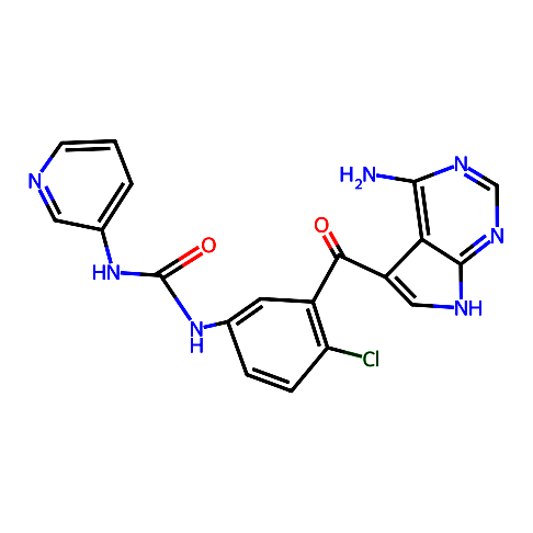 Nc1ncnc2[nH]cc(C(=O)c3cc(NC(=O)Nc4cccnc4)ccc3Cl)c12